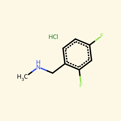 CNCc1ccc(F)cc1F.Cl